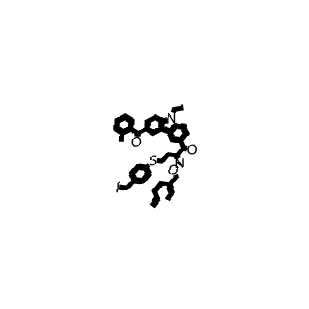 C=C/C=C\C(=C/C)CO/N=C(\CCSc1ccc(CI)cc1)C(=O)c1ccc2c(c1)c1cc(C(=O)c3ccccc3C)ccc1n2CC